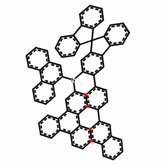 c1ccc2c(c1)-c1ccccc1C21c2ccccc2-c2cc(-c3ccc(-c4ccc5ccccc5c4)cc3)c(N(c3ccc4c5ccccc5c5ccccc5c4c3)c3cc4ccccc4c4ccccc34)cc21